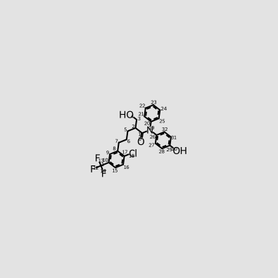 O=C(C(CO)CCCc1cc(C(F)(F)F)ccc1Cl)N(c1ccccc1)c1ccc(O)cc1